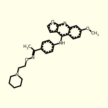 COc1ccc2c(Nc3ccc(C(C)=NOCCN4CCCCC4)cc3)c3ccoc3nc2c1